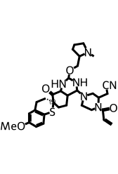 C=CC(=O)N1CCN(C2NC(OCC3CCCN3C)NC3C(=O)[C@@]4(CCc5cc(OC)ccc5S4)CCC32)CC1CC#N